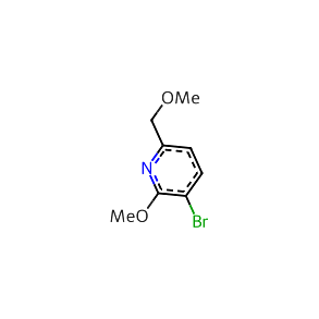 COCc1ccc(Br)c(OC)n1